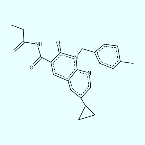 C=C(CC)NC(=O)c1cc2cc(C3CC3)cnc2n(Cc2ccc(C)cc2)c1=O